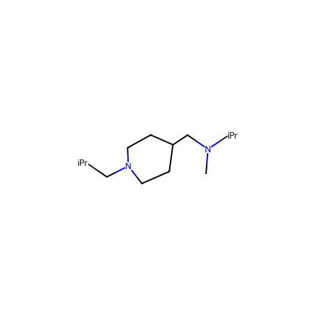 CC(C)CN1CCC(CN(C)C(C)C)CC1